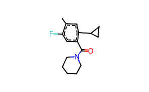 Cc1cc(C2CC2)c(C(=O)N2CCCCC2)cc1F